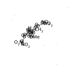 COc1ccccc1Oc1c(NS(=O)(=O)c2ccc(C(C)(C)COC(=O)OCCCCC(CO[N+](=O)[O-])O[N+](=O)[O-])cc2)nc(-c2ncccn2)nc1OCCOC(=O)OCCCCC(CO[N+](=O)[O-])O[N+](=O)[O-]